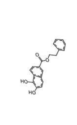 O=C(OCCc1ccccc1)c1ccc2c(O)c(O)ccc2c1